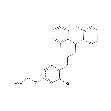 Cc1ccccc1C(=CCSc1ccc(OCC(=O)O)cc1Br)c1ccccc1C